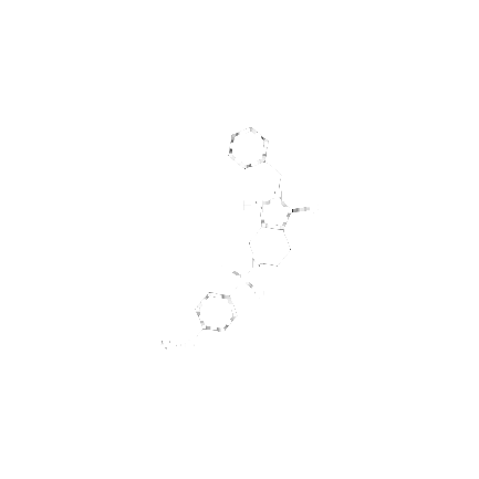 COc1ccc(S(=O)(=O)N2CCc3c([nH]n(Cc4ccccc4)c3=O)C2)cc1